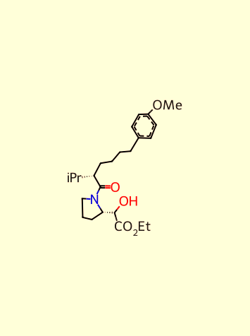 CCOC(=O)C(O)[C@@H]1CCCN1C(=O)[C@@H](CCCCc1ccc(OC)cc1)C(C)C